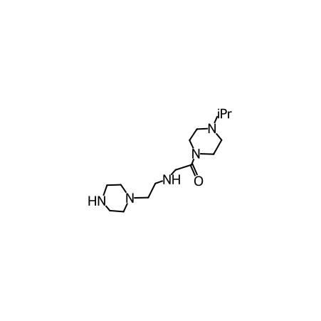 CC(C)N1CCN(C(=O)CNCCN2CCNCC2)CC1